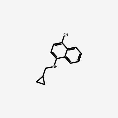 N#Cc1ccc(NCC2CC2)c2ccccc12